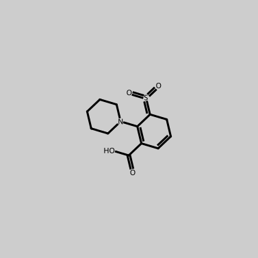 O=C(O)C1=C(N2CCCCC2)C(=S(=O)=O)CC=C1